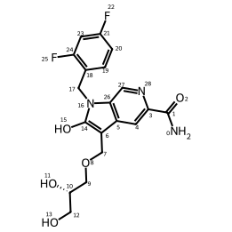 NC(=O)c1cc2c(COC[C@@H](O)CO)c(O)n(Cc3ccc(F)cc3F)c2cn1